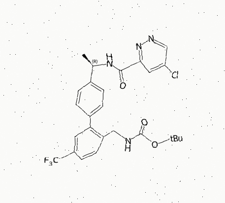 C[C@@H](NC(=O)c1cc(Cl)cnn1)c1ccc(-c2cc(C(F)(F)F)ccc2CNC(=O)OC(C)(C)C)cc1